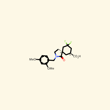 COc1ccc(CN2CC[C@]3(C[C@H](C(=O)O)CC(F)(F)C3)C2=O)c(OC)c1